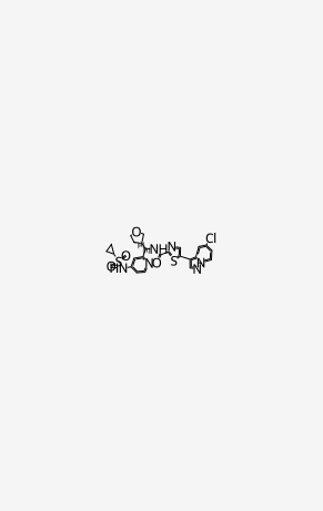 O=C(N[C@@H](c1cc(NS(=O)(=O)C2CC2)ccn1)[C@H]1CCOC1)c1ncc(-c2cnn3ccc(Cl)cc23)s1